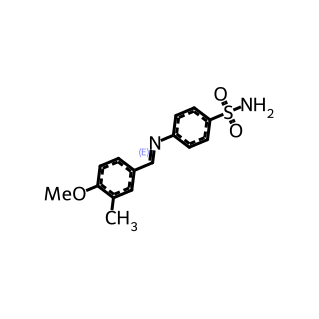 COc1ccc(/C=N/c2ccc(S(N)(=O)=O)cc2)cc1C